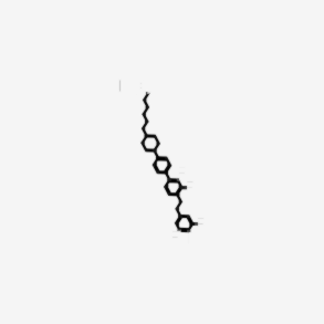 CCCCCCCC1CCC(c2ccc(-c3ccc(CCc4cc(F)c(F)c(F)c4)c(F)c3F)cc2)CC1